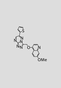 COc1ccc2c(OCc3nnc4ncc(-c5cccs5)nn34)ccnc2c1